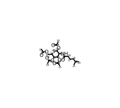 CC(=O)OCC1SC(OC(C)=O)C(NC(=O)CCCC(C)C)C(OC(C)=O)C1OC(C)=O